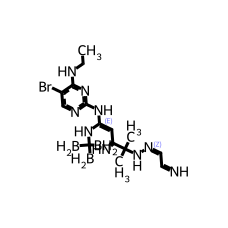 BC(B)(B)N/C(=C\C(=N)C(C)(C)N/N=C\C=N)Nc1ncc(Br)c(NCC)n1